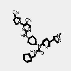 Cn1cc(-c2ccc(N(C(=O)NCc3ccccc3)[C@H]3CC[C@H](Nc4ncc(C#N)c(N5CCC(C#N)C5)n4)CC3)nc2)cn1